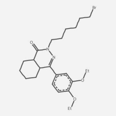 CCOc1ccc(C2=NN(CCCCCCBr)C(=O)C3CCCCC23)cc1OCC